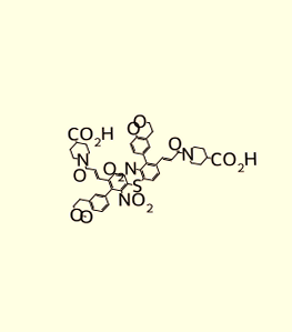 O=C(O)C1CCN(C(=O)/C=C/c2ccc(Sc3ccc(/C=C/C(=O)N4CCC(C(=O)O)CC4)c(-c4ccc5c(c4)CCOO5)c3[N+](=O)[O-])c([N+](=O)[O-])c2-c2ccc3c(c2)CCOO3)CC1